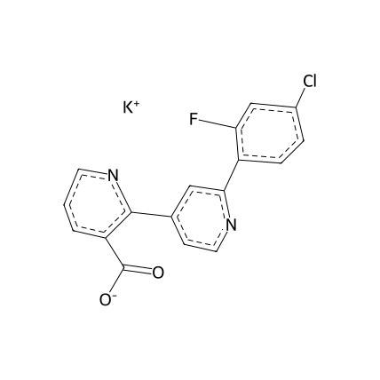 O=C([O-])c1cccnc1-c1ccnc(-c2ccc(Cl)cc2F)c1.[K+]